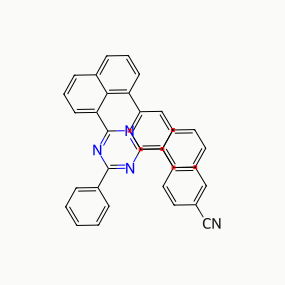 N#Cc1ccc(-c2ccc(-c3cccc4cccc(-c5nc(-c6ccccc6)nc(-c6ccccc6)n5)c34)cc2)cc1